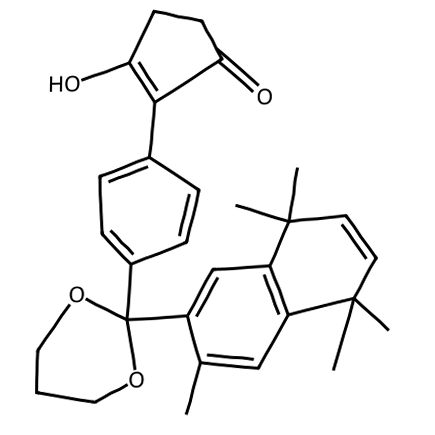 Cc1cc2c(cc1C1(c3ccc(C4=C(O)CCC4=O)cc3)OCCCO1)C(C)(C)C=CC2(C)C